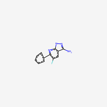 NC1=N[N]c2nc(-c3ccccc3)c(F)cc21